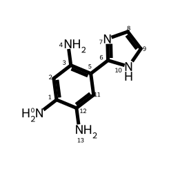 Nc1cc(N)c(-c2ncc[nH]2)cc1N